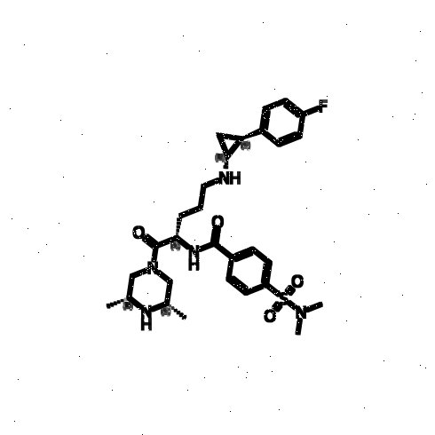 C[C@@H]1CN(C(=O)[C@H](CCCN[C@@H]2C[C@H]2c2ccc(F)cc2)NC(=O)c2ccc(S(=O)(=O)N(C)C)cc2)C[C@H](C)N1